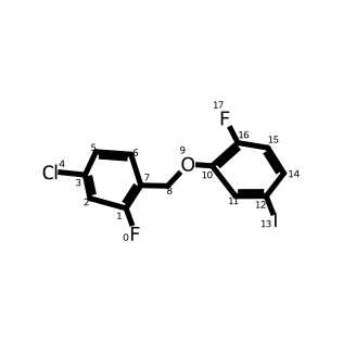 Fc1cc(Cl)ccc1COc1cc(I)ccc1F